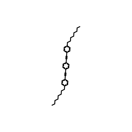 CCCCCCCCc1ccc(C#Cc2ccc(C#Cc3ccc(CCCCCCCC)cc3)cc2)cc1